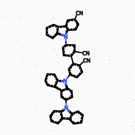 N#Cc1ccc2c(c1)c1ccccc1n2-c1ccc(-c2cc(-n3c4ccccc4c4cc(-n5c6ccccc6c6ccccc65)ccc43)ccc2C#N)c(C#N)c1